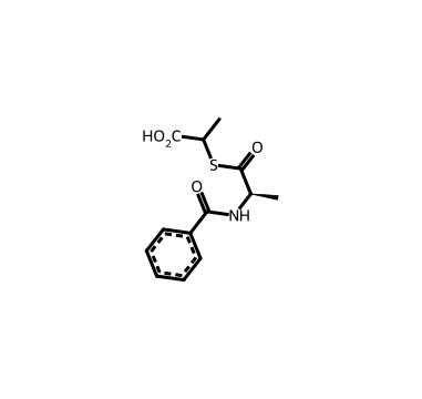 CC(SC(=O)[C@@H](C)NC(=O)c1ccccc1)C(=O)O